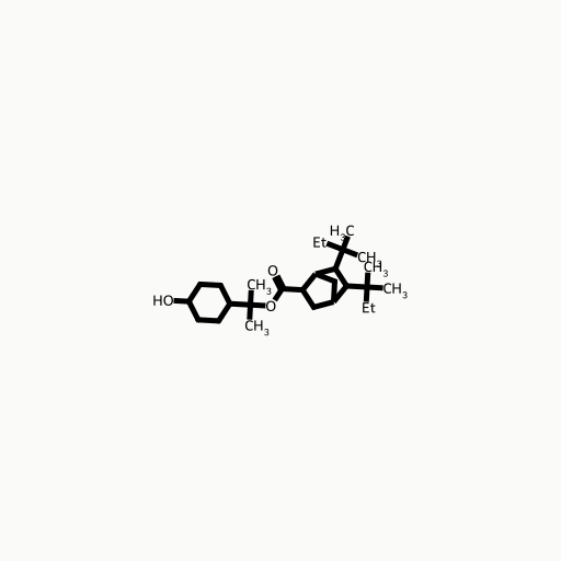 CCC(C)(C)C1C2CC(C(=O)OC(C)(C)C3CCC(O)CC3)C(C2)C1C(C)(C)CC